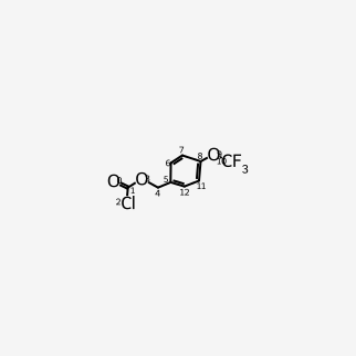 O=C(Cl)OCc1ccc(OC(F)(F)F)cc1